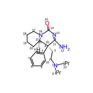 CC(C)N(CC[C@@]1(c2ccccc2)C(N)=NC(=O)N2CCCC[C@@H]21)C(C)C